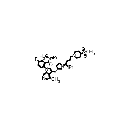 Cc1cncc2c1c(C[C@@H]1CCN(C(CCCN3CCC(S(C)(=O)=O)CC3)C(C)C)C1)cn2-c1ccc(F)cc1C(=O)N(C)C(C)C